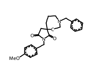 COc1ccc(CN2C(=O)CC3(CCCN(Cc4ccccc4)CC3)C2=O)cc1